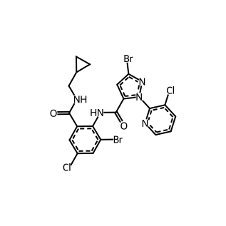 O=C(NCC1CC1)c1cc(Cl)cc(Br)c1NC(=O)c1cc(Br)nn1-c1ncccc1Cl